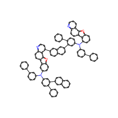 c1ccc(-c2cccc(N(c3ccc(-c4ccccc4)c(-c4ccc5ccccc5c4)c3)c3ccc4oc5c(ccc6nccc(-c7ccc8ccc(-c9cc(N(c%10cccc(-c%11ccccc%11)c%10)c%10cccc%11oc%12c%13cccnc%13ccc%12c%10%11)ccc9-c9ccccc9)cc8c7)c65)c4c3)c2)cc1